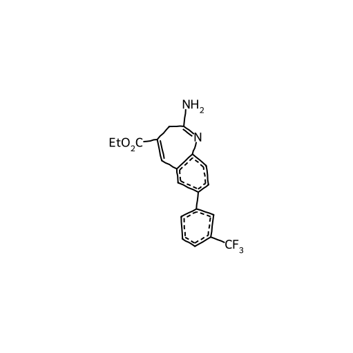 CCOC(=O)C1=Cc2cc(-c3cccc(C(F)(F)F)c3)ccc2N=C(N)C1